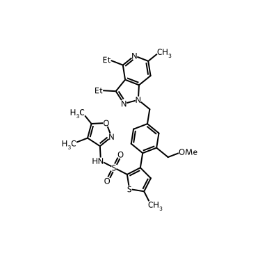 CCc1nc(C)cc2c1c(CC)nn2Cc1ccc(-c2cc(C)sc2S(=O)(=O)Nc2noc(C)c2C)c(COC)c1